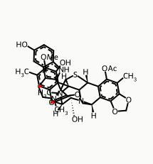 COc1c(C)cc2c(c1O)[C@@H]1C3[C@@H]4SC[C@]5(C(=O)OC[C@@H](c6c7c(c(C)c(OC(C)=O)c64)OCO7)N3[C@@H](O)[C@H](C2)N1C)c1[nH]c2ccc(O)cc2c1CCN5C